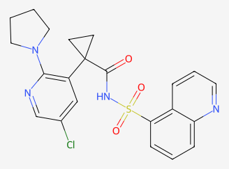 O=C(NS(=O)(=O)c1cccc2ncccc12)C1(c2cc(Cl)cnc2N2CCCC2)CC1